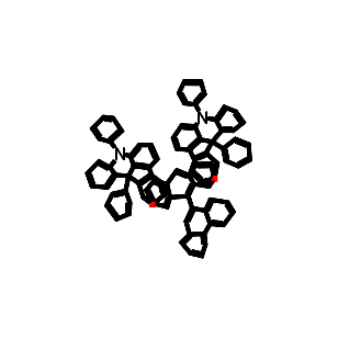 c1ccc(N2c3ccccc3C(c3ccccc3)(c3ccccc3)c3c(-c4cccc5c(-c6cc7ccccc7c7ccccc67)c6cccc(-c7cccc8c7C(c7ccccc7)(c7ccccc7)c7ccccc7N8c7ccccc7)c6cc45)cccc32)cc1